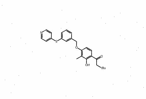 Cc1c(OCc2cccc(Sc3ccncc3)c2)ccc(C(=O)CC(C)(C)C)c1O